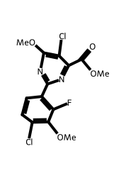 COC(=O)c1nc(-c2ccc(Cl)c(OC)c2F)nc(OC)c1Cl